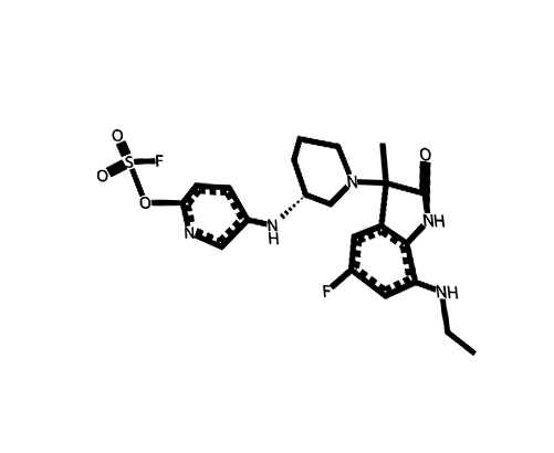 CCNc1cc(F)cc2c1NC(=O)C2(C)N1CCC[C@@H](Nc2ccc(OS(=O)(=O)F)nc2)C1